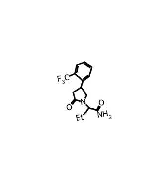 CCC(C(N)=O)N1CC(c2ccccc2C(F)(F)F)CC1=O